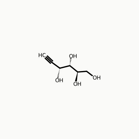 C#C[C@@H](O)[C@H](O)[C@H](O)CO